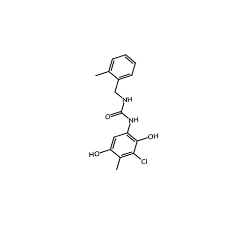 Cc1ccccc1CNC(=O)Nc1cc(O)c(C)c(Cl)c1O